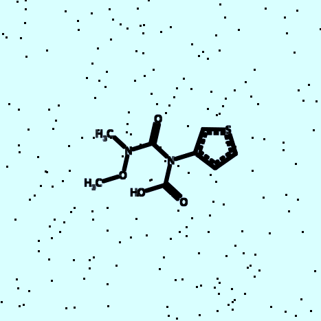 CON(C)C(=O)N(C(=O)O)c1ccsc1